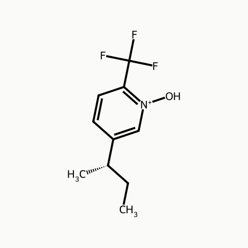 CC[C@H](C)c1ccc(C(F)(F)F)[n+](O)c1